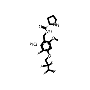 COc1cc(OCC(F)(F)C(F)F)c(F)cc1CNC(=O)[C@@H]1CCCN1.Cl